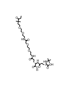 CCC(=O)C(C)(C)CCOCCOCCNC(=O)COCCOCCNC(=O)CC[C@H](NC(=O)CC[C@H](NC(C)(C)C)C(=O)O)C(=O)O